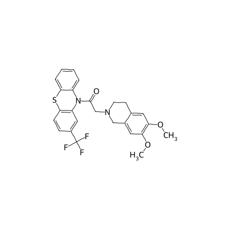 COc1cc2c(cc1OC)CN(CC(=O)N1c3ccccc3Sc3ccc(C(F)(F)F)cc31)CC2